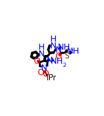 CC(C)OC(=O)N1CC(=O)c2c(Nc3ccccc3)c(C3=CC(N(N)C(=O)C4=CNCS4)NC=C3)n(N)c2C1